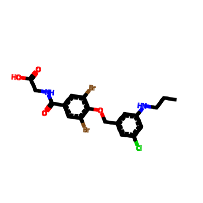 CCCNc1cc(Cl)cc(COc2c(Br)cc(C(=O)NCC(=O)O)cc2Br)c1